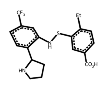 CCc1ccc(C(=O)O)cc1SNc1cc(C(F)(F)F)ccc1C1CCCN1